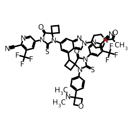 CC(=O)N1CCC(n2cc3c(C4CCC45C(=O)N(c4cnc(C#N)c(C(F)(F)F)c4)C(=S)N5c4ccc(C5(N(C)C)COC5)cc4)cc(N4C(=S)N(c5cnc(C#N)c(C(F)(F)F)c5)C(=O)C45CCC5)cc3n2)CC1